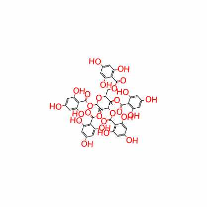 O=C(OCC1OC(OC(=O)c2c(O)cc(O)cc2O)[C@H](OC(=O)c2c(O)cc(O)cc2O)C(OC(=O)c2c(O)cc(O)cc2O)[C@@H]1OC(=O)c1c(O)cc(O)cc1O)c1c(O)cc(O)cc1O